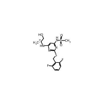 C[C@H](CO)Nc1cc(NS(C)(=O)=O)nc(SCc2c(F)cccc2F)n1